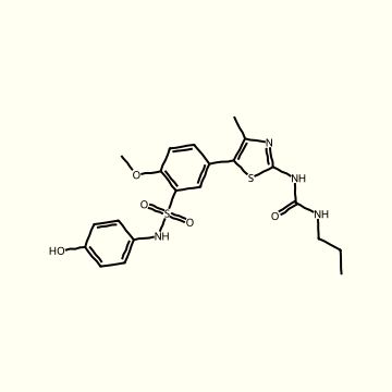 CCCNC(=O)Nc1nc(C)c(-c2ccc(OC)c(S(=O)(=O)Nc3ccc(O)cc3)c2)s1